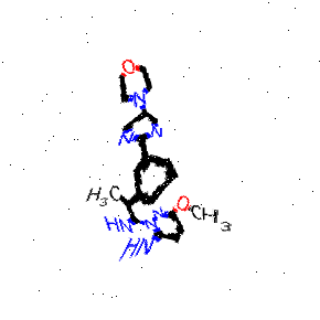 COc1ccc(=N)n(C(=N)C(C)c2cccc(-c3ncc(N4CCOCC4)cn3)c2)n1